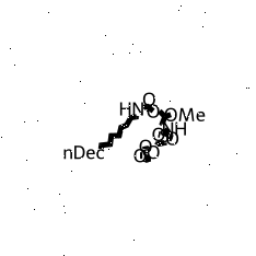 CCCCCCCCCCCCCCCCCCNC(=O)OCC(CNS(=O)(=O)CCOS(C)(=O)=O)OC